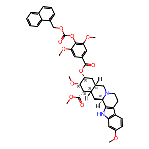 COC(=O)[C@H]1[C@H]2C[C@@H]3c4[nH]c5cc(OC)ccc5c4CCN3C[C@H]2C[C@@H](OC(=O)c2cc(OC)c(OC(=O)OCc3cccc4ccccc34)c(OC)c2)[C@@H]1OC